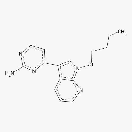 CCCCOn1cc(-c2ccnc(N)n2)c2cccnc21